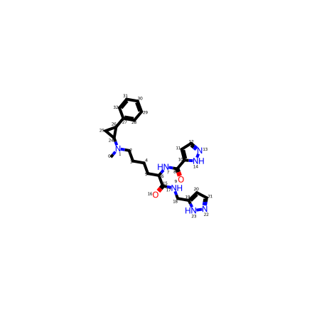 CN(CCCCC(NC(=O)c1ccn[nH]1)C(=O)NCc1ccn[nH]1)C1CC1c1ccccc1